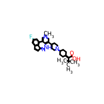 CN1C=C2C(=C(C3=CCN(C4CCC(=C(C(=O)O)C(C)(C)C)CC4)CC3)C1)NN=C1C=Cc3cc(F)cc2c31